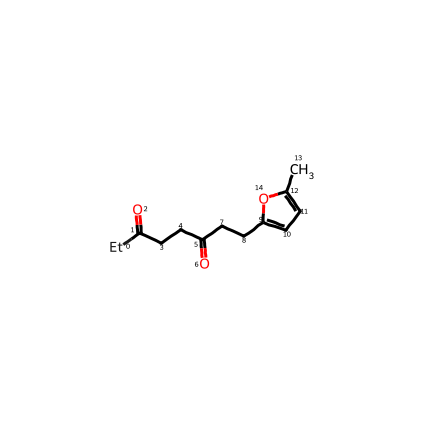 CCC(=O)CCC(=O)CCc1ccc(C)o1